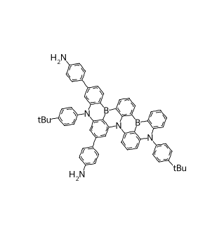 CC(C)(C)c1ccc(N2c3ccccc3B3c4cccc5c4N(c4cccc2c43)c2cc(-c3ccc(N)cc3)cc3c2B5c2ccc(-c4ccc(N)cc4)cc2N3c2ccc(C(C)(C)C)cc2)cc1